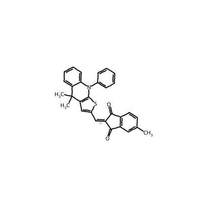 Cc1ccc2c(c1)C(=O)/C(=C/c1cc3c(s1)N(c1ccccc1)c1ccccc1C3(C)C)C2=O